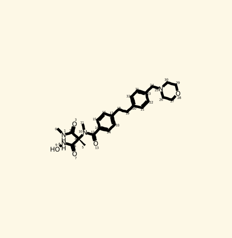 CNC(=O)[C@@](C)(C(=O)NO)N(C)C(=O)c1ccc(CCc2ccc(CN3CCOCC3)cc2)cc1